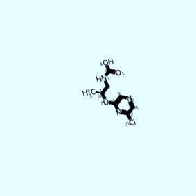 C[C@@H](CNC(=O)O)Oc1cncc(Cl)n1